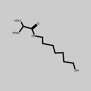 CCCCCCCCC(CCCCCC)C(=O)NCCCCCCCO